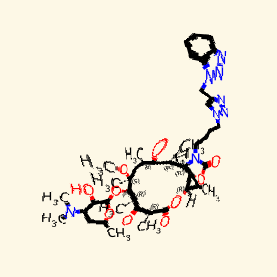 CO[C@@]1(C)C[C@@H](C)C(=O)[C@H](C)[C@H]2N(CCCCn3cc(Cn4nnc5ccccc54)nn3)C(=O)O[C@@]23C(C)[C@H]3OC(=O)[C@H](C)C(=O)[C@H](C)[C@H]1OC1OC(C)CC(N(C)C)C1O